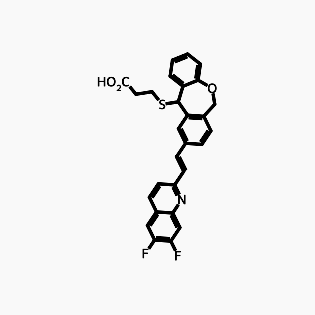 O=C(O)CCSC1c2cc(/C=C/c3ccc4cc(F)c(F)cc4n3)ccc2COc2ccccc21